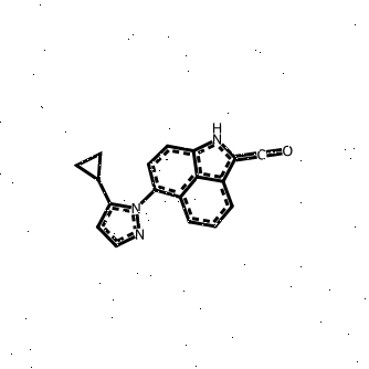 O=C=c1[nH]c2ccc(-n3nccc3C3CC3)c3cccc1c23